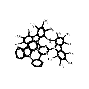 Bc1c(B)c(B)c2c(c1B)c1c(B)c(B)c(B)c(B)c1n2-c1nc(-c2ccccc2-n2c3ccccc3c3ccccc32)nc(-n2c3c(B)c(B)c(B)c(B)c3c3c(B)c(B)c(B)c(B)c32)n1